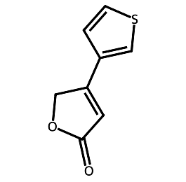 O=C1C=C(c2ccsc2)CO1